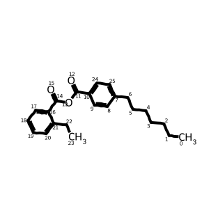 CCCCCCCc1ccc(C(=O)OC(=O)c2ccccc2CC)cc1